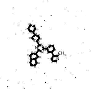 Cc1ncccc1-c1cccc(-c2nc(-c3ccc(-c4ccccc4)cc3)nc(-c3ccc4ccccc4c3)n2)c1